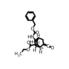 CCOC(=O)[C@@H]1[C@@H](NC(=O)OCc2ccccc2)[C@@H]2CC[C@H]1C(=C=O)C2